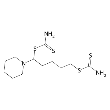 NC(=S)SCCCCC(SC(N)=S)N1CCCCC1